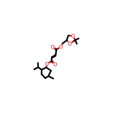 CC1CCC(C(C)C)C(OC(=O)C=CC(=O)OCC2COC(C)(C)O2)C1